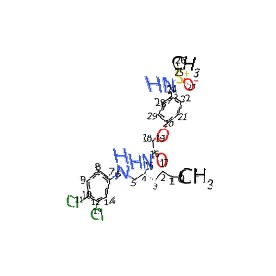 CCCC[C@H](CNc1ccc(Cl)c(Cl)c1)NC(=O)COc1ccc(N[S+](C)[O-])cc1